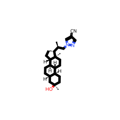 C[C@@H](Cn1cc(C#N)cn1)[C@H]1CC[C@H]2[C@@H]3CC[C@@H]4C[C@](C)(O)CC[C@@H]4[C@H]3CC[C@]12C